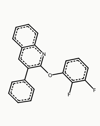 Fc1cccc(Oc2nc3ccccc3cc2-c2ccccc2)c1F